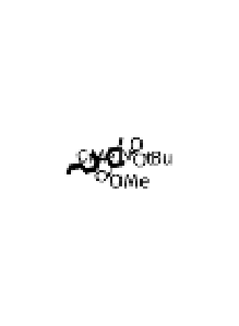 C=C(/C=C\C(=C/C)OC)[C@H]1C[C@@H](C)N(C(=O)OC(C)(C)C)C[C@@H]1C(=O)OC